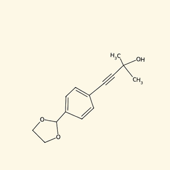 CC(C)(O)C#Cc1ccc(C2OCCO2)cc1